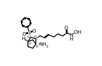 N[C@]12CC[C@@H](C1)[C@H](S(=O)(=O)c1ccccc1)[C@H]2CC=CCCCC(=O)NO